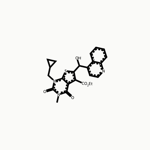 CCOC(=O)c1c(C(O)c2ccnc3ccccc23)sc2c1c(=O)n(C)c(=O)n2CC1CC1